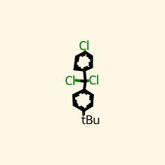 CC(C)(C)c1ccc(C(Cl)(Cl)c2ccc(Cl)cc2)cc1